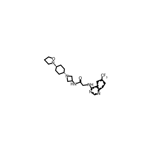 O=C(CNc1ncnc2ccc(C(F)(F)F)cc12)NC1CN([C@H]2CC[C@H](N3CCCO3)CC2)C1